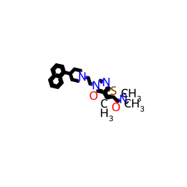 Cc1c(C(=O)N(C)C)sc2ncn(CCN3CCC(c4cccc5ccccc45)CC3)c(=O)c12